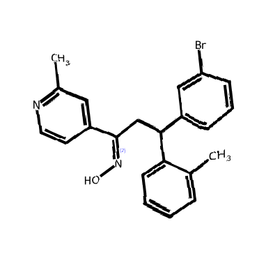 Cc1cc(/C(CC(c2cccc(Br)c2)c2ccccc2C)=N\O)ccn1